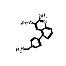 CCCCCc1cc2c(-c3ccc(CN)cc3)cccc2nc1N